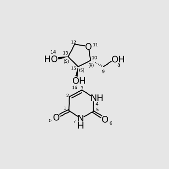 O=c1cc[nH]c(=O)[nH]1.OC[C@H]1OC[C@H](O)[C@@H]1O